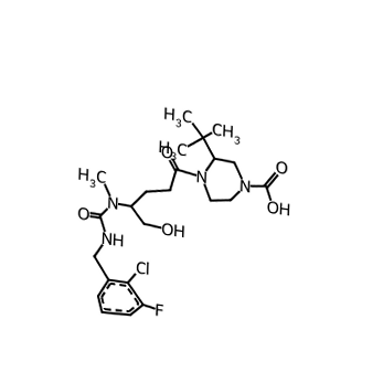 CN(C(=O)NCc1cccc(F)c1Cl)C(CO)CCC(=O)N1CCN(C(=O)O)CC1C(C)(C)C